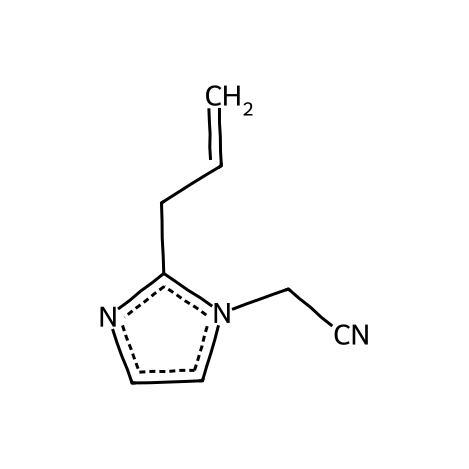 C=CCc1nccn1CC#N